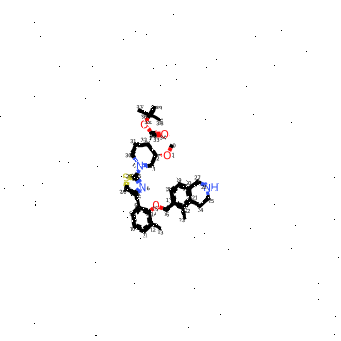 CO[C@@H]1CN(c2nc(-c3cccc(C)c3OCc3ccc4c(c3C)CCNC4)cs2)CC[C@@H]1C(=O)OC(C)(C)C